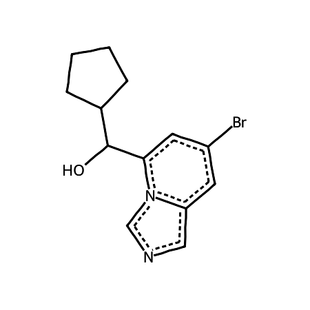 OC(c1cc(Br)cc2cncn12)C1CCCC1